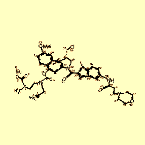 C#CCN(CCN(C)C(=O)OC(C)(C)C)C(=O)Oc1cc2c(c3cc(OC)ccc13)[C@H](CCl)CN2C(=O)c1cc2cc(NC(=O)CCN3CCOCC3)ccc2s1